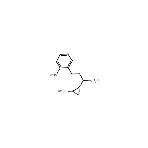 COc1ccccc1CCC(C(=O)O)C1CC1C(=O)O